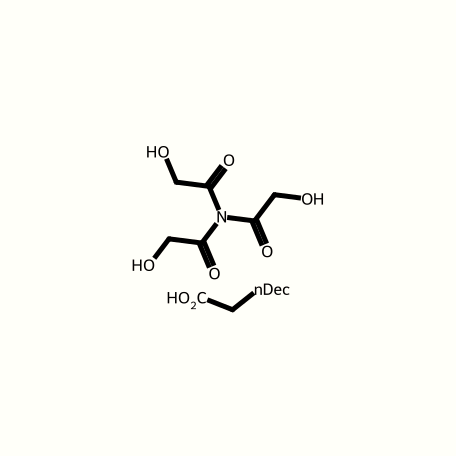 CCCCCCCCCCCC(=O)O.O=C(CO)N(C(=O)CO)C(=O)CO